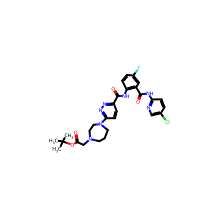 CC(C)(C)OC(=O)CN1CCCN(c2ccc(C(=O)Nc3ccc(F)cc3C(=O)Nc3ccc(Cl)cn3)nn2)CC1